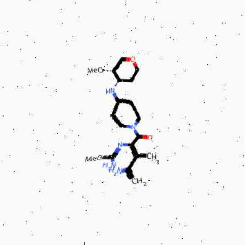 C=C(N)/C(C)=C(\N=C(/N)OC)C(=O)N1CCC(N[C@H]2CCOC[C@H]2OC)CC1